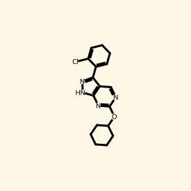 ClC1=CCCC=C1c1n[nH]c2nc(OC3CCCCC3)ncc12